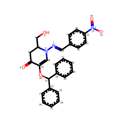 O=C1CC(CO)N(/N=C/c2ccc([N+](=O)[O-])cc2)C=C1OC(c1ccccc1)c1ccccc1